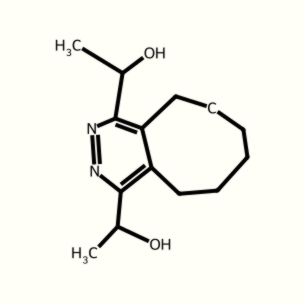 CC(O)c1nnc(C(C)O)c2c1CCCCCC2